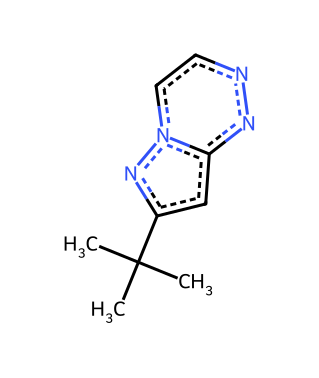 CC(C)(C)c1cc2nnccn2n1